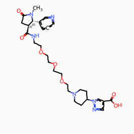 CN1C(=O)C[C@H](C(=O)NCCOCCOCCOCCN2CCC(n3cc(C(=O)O)cn3)CC2)[C@H]1c1cccnc1